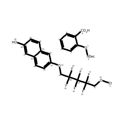 CCCCCCCCCCOc1ccccc1C(=O)O.CCOCC(F)(F)C(F)(F)C(F)(F)COc1ccc2cc(O)ccc2c1